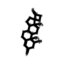 CC12C(=CC(=O)CC1O)CCC1C2CCC2(C)C1CCC21OCC1=O